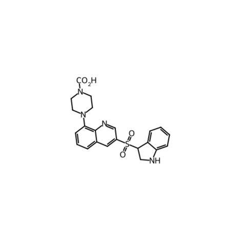 O=C(O)N1CCN(c2cccc3cc(S(=O)(=O)C4CNc5ccccc54)cnc23)CC1